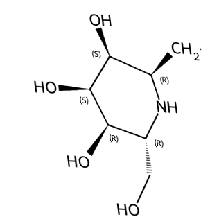 [CH2][C@H]1N[C@H](CO)[C@@H](O)[C@@H](O)[C@H]1O